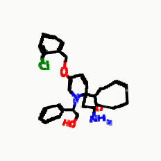 NC(=O)CC1(C2CCCCCC2)C=CC(OCc2ccccc2Cl)=CN1[C@@H](CO)c1ccccc1